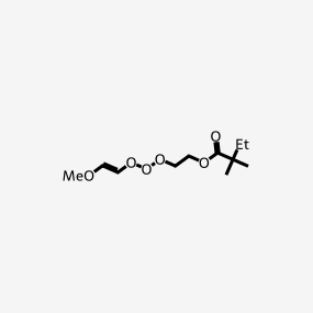 CCC(C)(C)C(=O)OCCOOO/C=C/OC